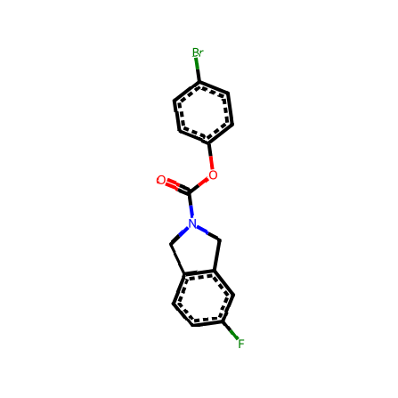 O=C(Oc1ccc(Br)cc1)N1Cc2ccc(F)cc2C1